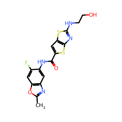 Cc1nc2cc(NC(=O)c3cc4sc(NCCO)nc4s3)c(F)cc2o1